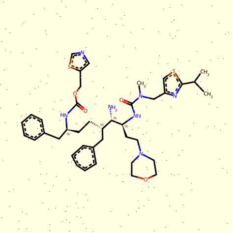 CC(C)c1nc(CN(C)C(=O)N[C@@H](CCN2CCOCC2)[C@@H](N)[C@@H](CC[C@@H](Cc2ccccc2)NC(=O)OCc2cncs2)Cc2ccccc2)cs1